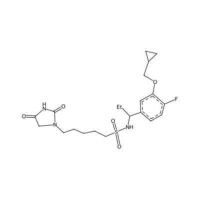 CCC(NS(=O)(=O)CCCCCN1CC(=O)NC1=O)c1ccc(F)c(OCC2CC2)c1